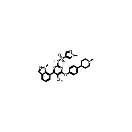 CN1CCC(c2ccc(Oc3nc(NS(=O)(=O)c4cnn(C)c4)nc(-c4cccc5cnn(C)c45)c3C(F)(F)F)cc2)CC1